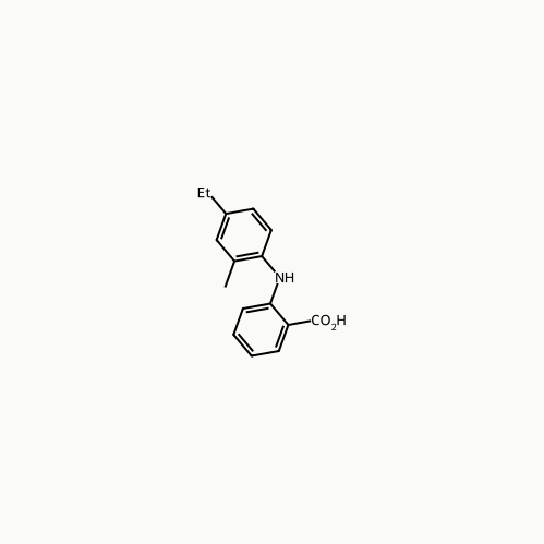 CCc1ccc(Nc2ccccc2C(=O)O)c(C)c1